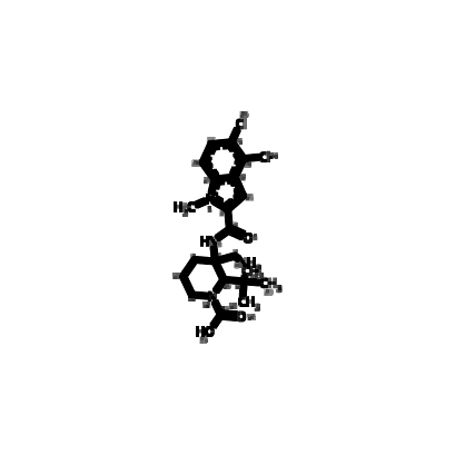 Cn1c(C(=O)NC2(CN)CCCN(C(=O)O)C2C(C)(C)C)cc2c(Cl)c(Cl)ccc21